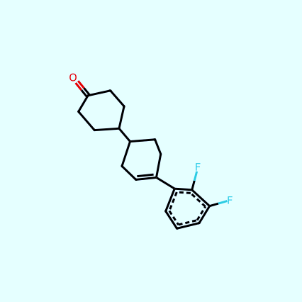 O=C1CCC(C2CC=C(c3cccc(F)c3F)CC2)CC1